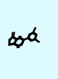 Cc1cc(C)cc(-c2cnc3cc[nH]c3n2)c1